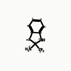 NC1(C(F)(F)F)Nc2ccccc2S1